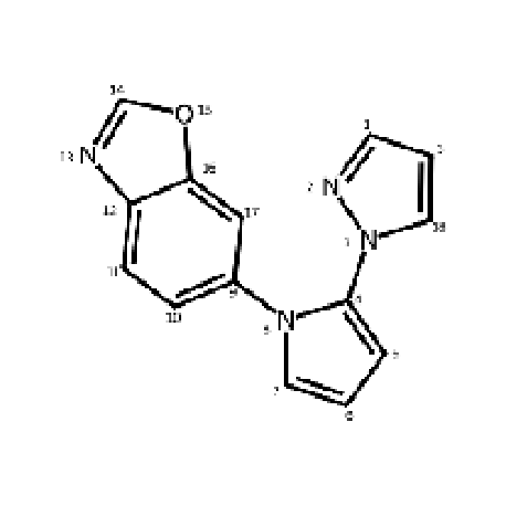 c1cnn(-c2cccn2-c2ccc3ncoc3c2)c1